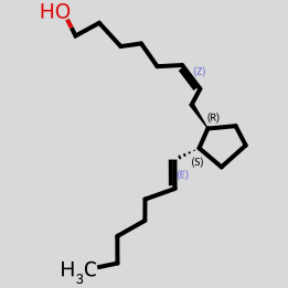 CCCCC/C=C/[C@H]1CCC[C@@H]1C/C=C\CCCCCO